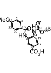 COc1ccc(C(=O)Nc2cc(C(=O)O)ccc2NC(=O)OC(C)(C)C)cc1